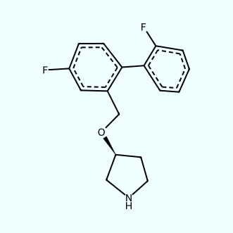 Fc1ccc(-c2ccccc2F)c(CO[C@H]2CCNC2)c1